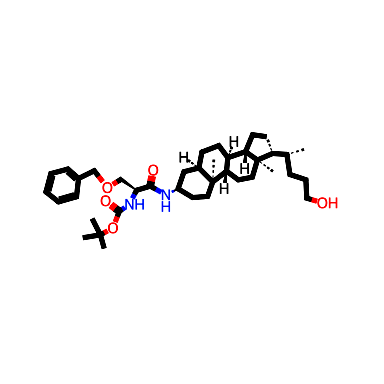 C[C@H](CCCO)[C@H]1CC[C@H]2[C@@H]3CC[C@@H]4C[C@@H](NC(=O)[C@H](COCc5ccccc5)NC(=O)OC(C)(C)C)CC[C@]4(C)[C@H]3CC[C@]12C